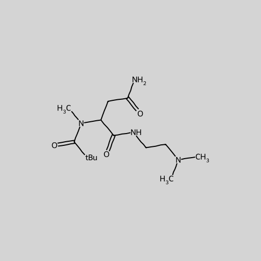 CN(C)CCNC(=O)C(CC(N)=O)N(C)C(=O)C(C)(C)C